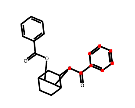 O=C(OC1C2CCC(C(CCc3ccccc3)C2)C1OC(=O)c1ccccc1)c1ccccc1